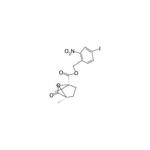 CC1(C)[C@@]2(C)CC[C@]1(C(=O)OCc1ccc(I)cc1[N+](=O)[O-])OC2=O